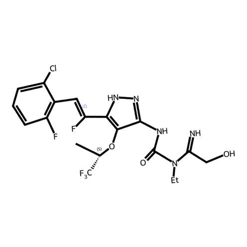 CCN(C(=N)CO)C(=O)Nc1n[nH]c(/C(F)=C/c2c(F)cccc2Cl)c1O[C@@H](C)C(F)(F)F